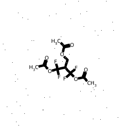 CC(=O)OCC(C(F)(F)OC(C)=O)C(F)(F)OC(C)=O